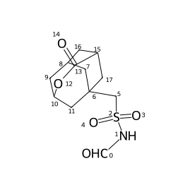 O=CNS(=O)(=O)CC12CC3CC(C1)OC(=O)C(C3)C2